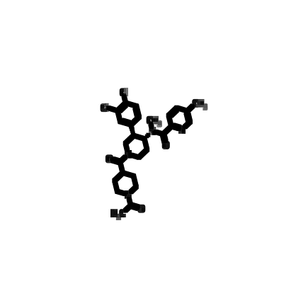 CC(=O)N1CCC(C(=O)N2CC[C@@H](N(C)C(=O)c3ccc(C)cn3)[C@H](c3ccc(Cl)c(Cl)c3)C2)CC1